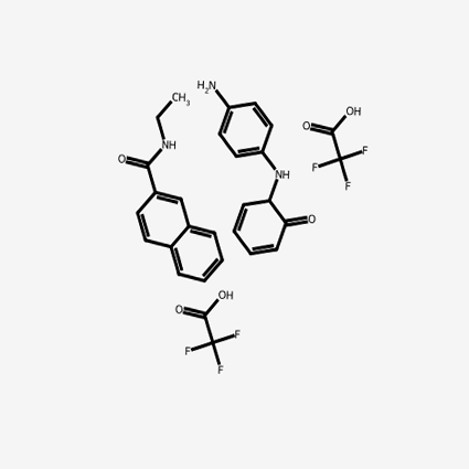 CCNC(=O)c1ccc2ccccc2c1.Nc1ccc(NC2C=CC=CC2=O)cc1.O=C(O)C(F)(F)F.O=C(O)C(F)(F)F